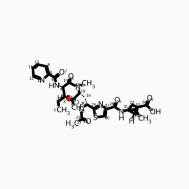 CC[C@H](C)[C@H](NC(=O)c1ccccn1)C(=O)N(C)[C@H](C[C@@H](OC(C)=O)c1nc(C(=O)NC23CC(C(=O)O)(C2)[C@@H]3C)cs1)C(C)C